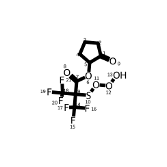 O=C1CCCC1OC(=O)C(SOOO)(C(F)(F)F)C(F)(F)F